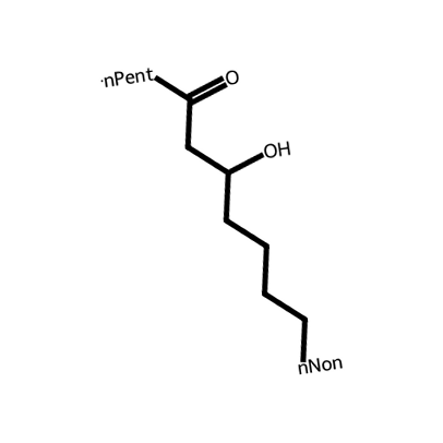 CCCC[CH]C(=O)CC(O)CCCCCCCCCCCCC